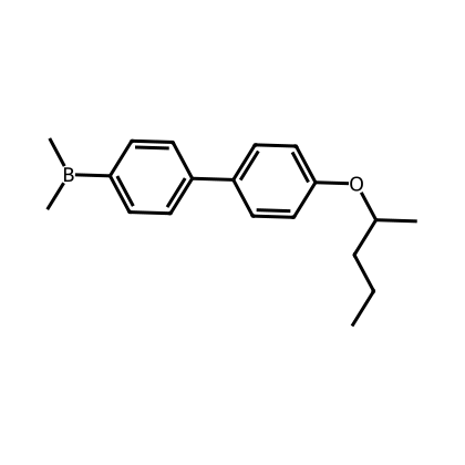 CCCC(C)Oc1ccc(-c2ccc(B(C)C)cc2)cc1